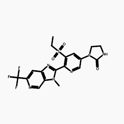 CCS(=O)(=O)c1cc(N2CCNC2=O)cnc1-c1nc2cc(C(F)(F)F)ncc2n1C